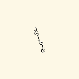 CCCC(=O)CC(=O)OCCCCOc1ccc(CCOC2CCCCO2)cc1